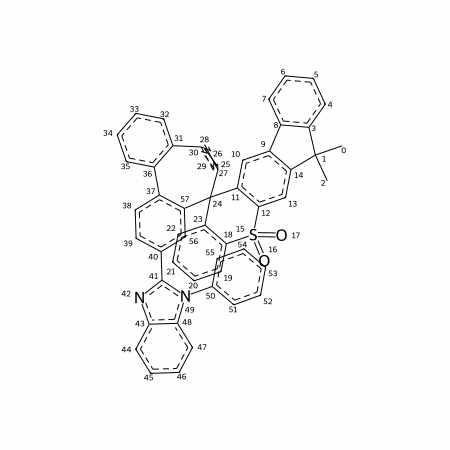 CC1(C)c2ccccc2-c2cc3c(cc21)S(=O)(=O)c1ccccc1C31c2ccccc2-c2ccccc2-c2ccc(-c3nc4ccccc4n3-c3ccccc3)cc21